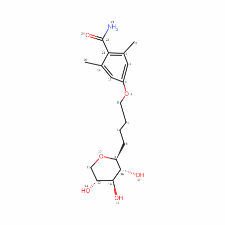 Cc1cc(OCCCC[C@@H]2OC[C@@H](O)[C@H](O)[C@H]2O)cc(C)c1C(N)=O